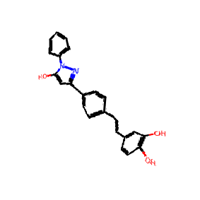 Oc1ccc(C=Cc2ccc(-c3cc(O)n(-c4ccccc4)n3)cc2)cc1O